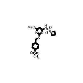 COc1cc(NS(=O)(=O)N2CCC2)nc(SCc2ccc(S(C)(=O)=O)cc2)n1